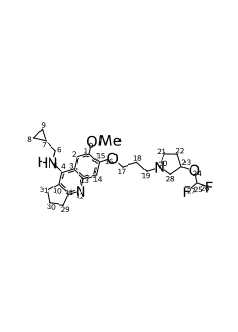 COc1cc2c(NCC3CC3)c3c(nc2cc1OCCCN1CCC(OC(F)F)C1)CCC3